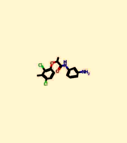 Cc1c(Cl)ccc(OC(C)C(=O)Nc2cccc(N)c2)c1Cl